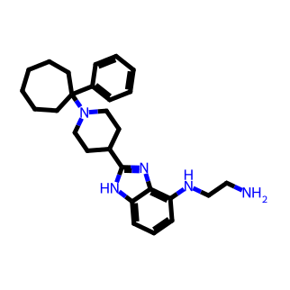 NCCNc1cccc2[nH]c(C3CCN(C4(c5ccccc5)CCCCCC4)CC3)nc12